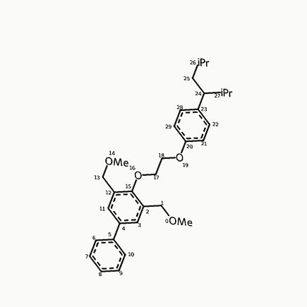 COCc1cc(-c2ccccc2)cc(COC)c1OCCOc1ccc(C(CC(C)C)C(C)C)cc1